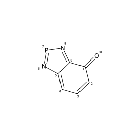 O=C1C=CC=C2N=PN=C12